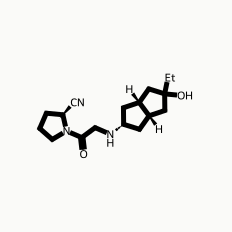 CCC1(O)C[C@H]2C[C@@H](NCC(=O)N3CCC[C@H]3C#N)C[C@H]2C1